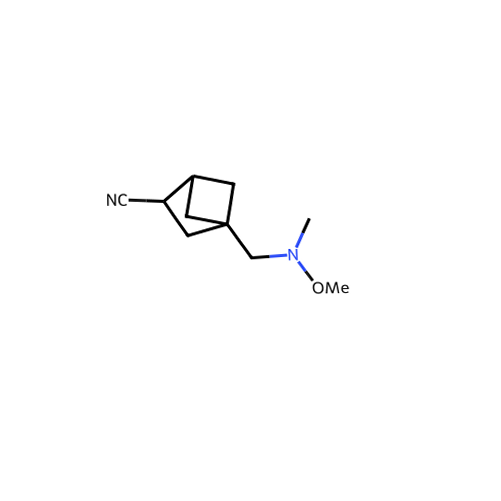 CON(C)CC12CC(C#N)C(C1)C2